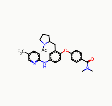 CC(=O)N1CCCC1Cc1cc(Nc2ccc(C(F)(F)F)cn2)ccc1Oc1ccc(C(=O)N(C)C)cc1